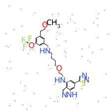 COCCc1cc(CNCCCCOCCNc2cc(-c3cnns3)cc3[nH]ncc23)cc(OC(F)(F)F)c1